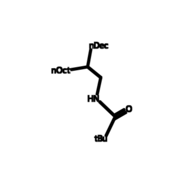 CCCCCCCCCCC(CCCCCCCC)CNC(=O)C(C)(C)C